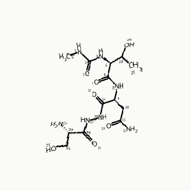 CNC(=O)N[C@H](C(=O)N[C@@H](CC(N)=O)C(=O)NNC(=O)[C@@H](N)CO)C(C)O